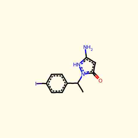 CC(c1ccc(I)cc1)n1[nH]c(N)cc1=O